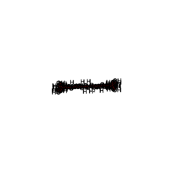 N[C@H](CC(=O)NCCNC(=O)OCC(O)COCC(O)COCC(O)CNC(=O)OCC(O)COCC(O)COCC(O)CN(C[C@H](O)[C@@H](O)[C@H](O)[C@H](O)CO)C[C@H](O)[C@@H](O)[C@H](O)[C@H](O)CO)C(=O)NCCNC(=O)OCC(O)COCC(O)COCC(O)CNC(=O)OCC(O)COCC(O)COCC(O)CN(C[C@H](O)[C@@H](O)[C@H](O)[C@H](O)CO)C[C@H](O)[C@@H](O)[C@H](O)[C@H](O)CO